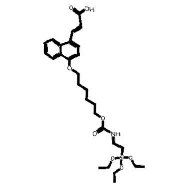 CCO[Si](CCNC(=O)OCCCCCCOc1ccc(C=CC(=O)O)c2ccccc12)(OCC)OCC